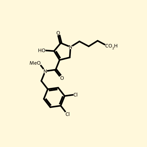 CON(Cc1ccc(Cl)c(Cl)c1)C(=O)C1=C(O)C(=O)N(CCCC(=O)O)C1